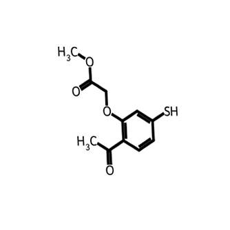 COC(=O)COc1cc(S)ccc1C(C)=O